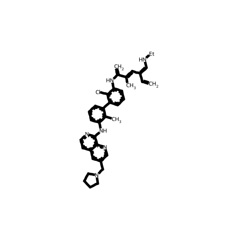 C=CC(=C/NCC)/C=C(\C)C(=C)Nc1cccc(-c2cccc(Nc3nccc4cc(CN5CCCC5)cnc34)c2C)c1Cl